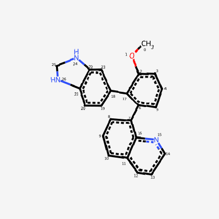 COc1cccc(-c2cccc3cccnc23)c1-c1ccc2c(c1)NCN2